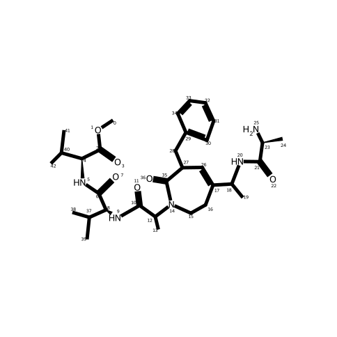 COC(=O)[C@@H](NC(=O)[C@@H](NC(=O)C(C)N1CCC(C(C)NC(=O)[C@H](C)N)=CC(Cc2ccccc2)C1=O)C(C)C)C(C)C